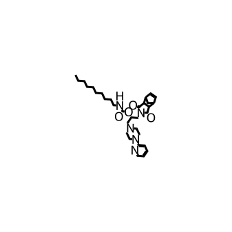 CCCCCCCCCCNC(=O)OC(CN1CCN(c2ccccn2)CC1)CN1C(=O)C2C3C=CC(C3)C2C1=O